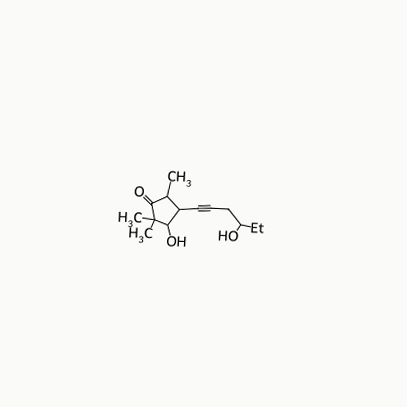 CCC(O)CC#CC1C(C)C(=O)C(C)(C)C1O